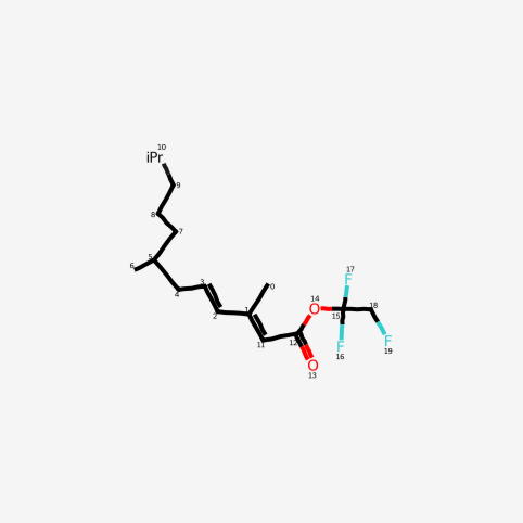 CC(/C=C/CC(C)CCCC(C)C)=C\C(=O)OC(F)(F)CF